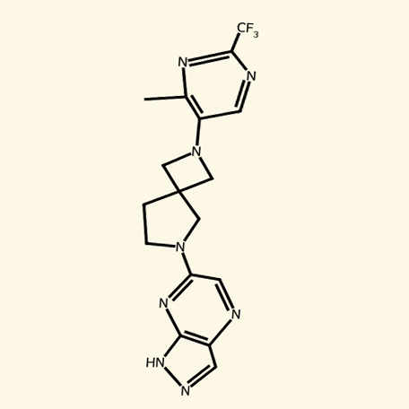 Cc1nc(C(F)(F)F)ncc1N1CC2(CCN(c3cnc4cn[nH]c4n3)C2)C1